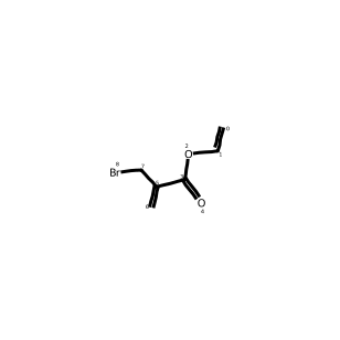 C=COC(=O)C(=C)CBr